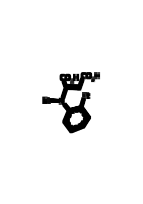 CCc1ccccc1N(CC)C(=CC(=O)O)C(=O)O